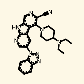 CCN(CC)C1CCN(c2c(C#N)ncc3[nH]c4ncc(-n5nnc6ccccc65)cc4c23)CC1